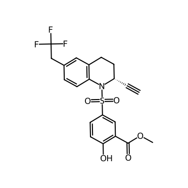 C#C[C@H]1CCc2cc(CC(F)(F)F)ccc2N1S(=O)(=O)c1ccc(O)c(C(=O)OC)c1